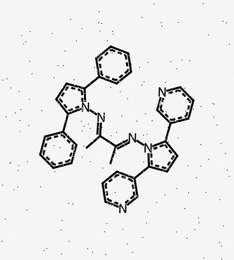 CC(=Nn1c(-c2ccccc2)ccc1-c1ccccc1)C(C)=Nn1c(-c2cccnc2)ccc1-c1cccnc1